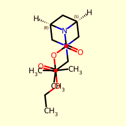 CCOC(=O)CN1C[C@H]2C[C@@H](C1)N2C(=O)OC(C)(C)C